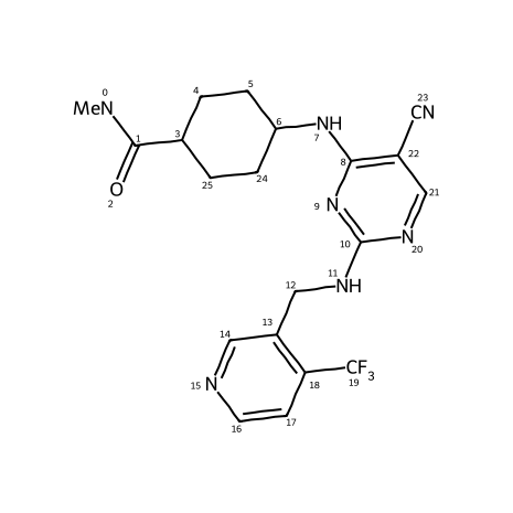 CNC(=O)C1CCC(Nc2nc(NCc3cnccc3C(F)(F)F)ncc2C#N)CC1